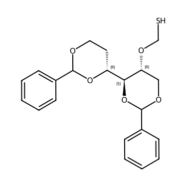 SCO[C@@H]1COC(c2ccccc2)O[C@H]1[C@H]1CCOC(c2ccccc2)O1